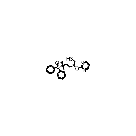 CC(C)(CC[C@@H](CS)Oc1ncccn1)[Si](O)(c1ccccc1)c1ccccc1